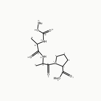 COC(=O)C1CCCN1C(=O)C(C)NC(=O)C(C)NC(=O)OC(C)(C)C